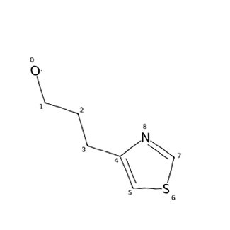 [O]CCCc1cscn1